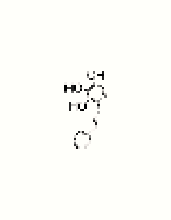 Oc1ccc(CC=Cc2ccccc2)c(O)c1O